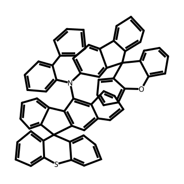 c1ccc(-c2ccccc2N(c2ccc3c(c2)C2(c4ccccc4Oc4ccccc42)c2ccccc2-3)c2c3c(cc4ccccc24)C2(c4ccccc4Sc4ccccc42)c2ccccc2-3)cc1